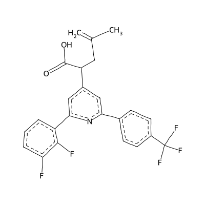 C=C(C)CC(C(=O)O)c1cc(-c2ccc(C(F)(F)F)cc2)nc(-c2cccc(F)c2F)c1